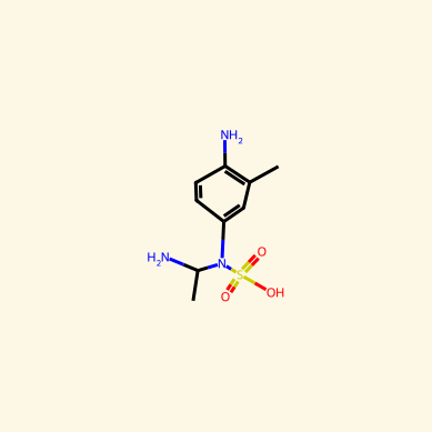 Cc1cc(N(C(C)N)S(=O)(=O)O)ccc1N